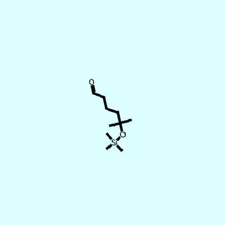 CC(C)(CCCC=O)O[Si](C)(C)C